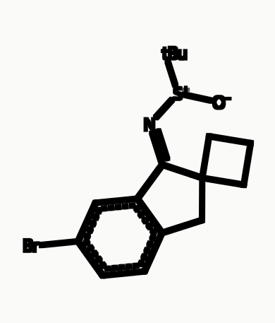 CC(C)(C)[S+]([O-])/N=C1/c2cc(Br)ccc2CC12CCC2